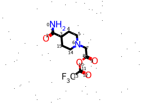 NC(=O)C1CCN(CC(=O)OC(=O)C(F)(F)F)CC1